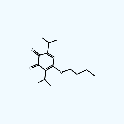 CCCCOC1=C(C(C)C)C(=O)C(=O)C(C(C)C)=C1